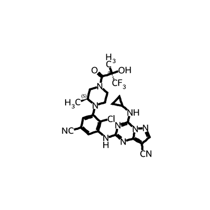 C[C@H]1CN(C(=O)[C@@](C)(O)C(F)(F)F)CCN1c1cc(C#N)cc(Nc2nc(NC3CC3)n3ncc(C#N)c3n2)c1Cl